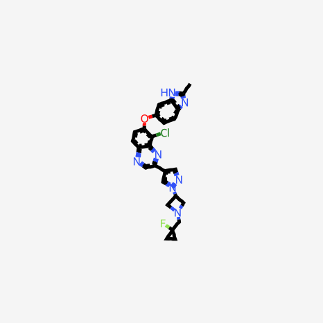 Cc1nc2ccc(Oc3ccc4ncc(-c5cnn(C6CN(CC7(F)CC7)C6)c5)nc4c3Cl)cc2[nH]1